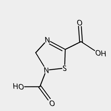 O=C(O)C1=NCN(C(=O)O)S1